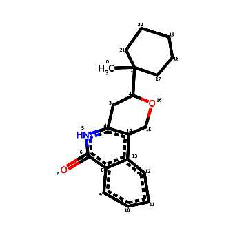 CC1(C2Cc3[nH]c(=O)c4ccccc4c3CO2)CCCCC1